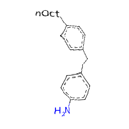 CCCCCCCCc1ccc(Cc2ccc(N)cc2)cc1